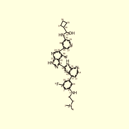 CN(C)CCNc1cc(F)cc(-c2ccnc3[nH]c(-c4n[nH]c5ncc(-c6cncc(NC(O)C7CCC7)c6)c(F)c45)nc23)c1